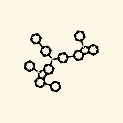 c1ccc(-c2ccc(N(c3ccc(-c4ccc5c6ccccc6n(-c6ccccc6)c5c4)cc3)c3ccc4c5c(-c6ccccc6)cccc5n(-c5ccccc5)c4c3)cc2)cc1